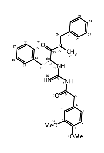 COc1ccc(CC(=O)NC(=N)N[C@H](Cc2ccccc2)C(=O)N(C)Cc2ccccc2)cc1OC